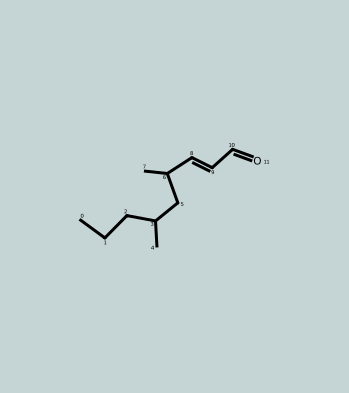 CCCC(C)CC(C)/C=C/C=O